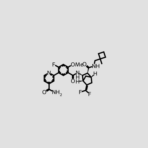 COc1cc(F)c(-c2cc(C(N)=O)ccn2)cc1C(=O)N[C@H]1[C@@H](C(=O)NCC2(C)CCC2)[C@@H]2CC(=C(F)F)[C@H]1C2